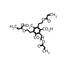 C=CC(=O)OCCc1c(C(=O)O)c(CCOC(=O)C=C)c(C(=O)O)c(CCOC(=O)C=C)c1C(=O)O